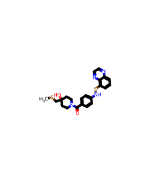 CSCC1(O)CCN(C(=O)c2ccc(NSc3cccc4nccnc34)cc2)CC1